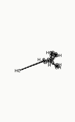 C#CC#CC#CC#CC#CC#CC#CC#CC#C[N+](C)(C)CCC(=O)NC(COCCCP(=O)(O)O)(COCCCP(=O)(O)O)COCCCP(=O)(O)O